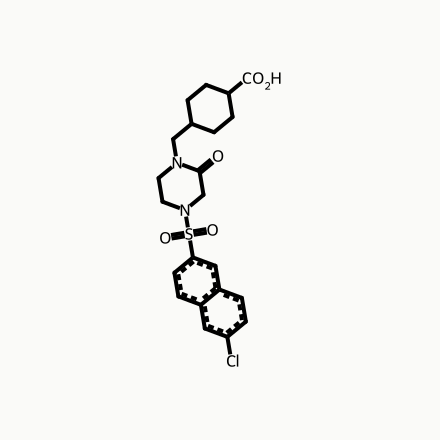 O=C(O)C1CCC(CN2CCN(S(=O)(=O)c3ccc4cc(Cl)ccc4c3)CC2=O)CC1